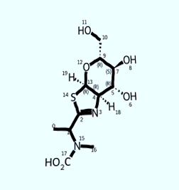 CC(C1=N[C@@H]2[C@@H](O)[C@H](O)[C@@H](CO)O[C@@H]2S1)N(C)C(=O)O